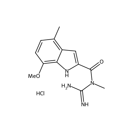 COc1ccc(C)c2cc(C(=O)N(C)C(=N)N)[nH]c12.Cl